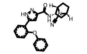 N#CN1[C@@H]2CC[C@H]1[C@@H](NC(=O)c1cc(-c3ccccc3Oc3ccccc3)[nH]n1)C2